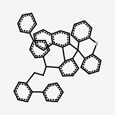 c1ccc(-c2ccc(C(CCc3ccccc3-c3ccccc3)c3cccc4c3-c3c(ccc5ccccc35)C43c4ccccc4Sc4ccccc43)cc2)cc1